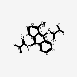 CC(C)C(=O)Oc1c2ccccc2c(OC(=O)C(C)C)c2c(Br)cccc12